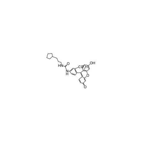 O=C(NCCCC1CCCC1)Nc1ccc(-c2c3ccc(=O)cc-3oc3cc(O)ccc23)c(C(=O)O)c1